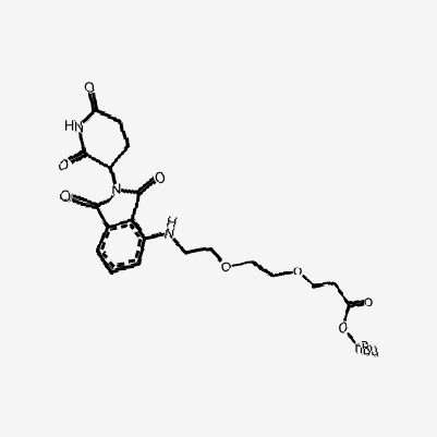 CCCCOC(=O)CCOCCOCCNc1cccc2c1C(=O)N(C1CCC(=O)NC1=O)C2=O